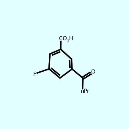 CCCC(=O)c1cc(F)cc(C(=O)O)c1